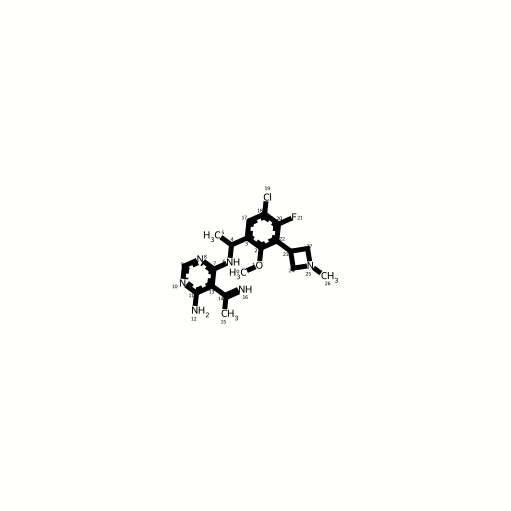 COc1c(C(C)Nc2ncnc(N)c2C(C)=N)cc(Cl)c(F)c1C1CN(C)C1